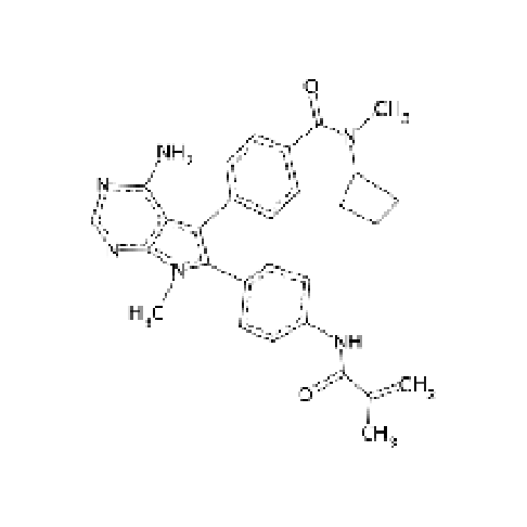 C=C(C)C(=O)Nc1ccc(-c2c(-c3ccc(C(=O)N(C)C4CCC4)cc3)c3c(N)ncnc3n2C)cc1